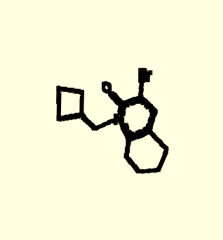 O=c1c(Br)cc2c(n1CC1CCC1)CCCC2